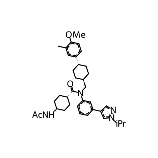 COc1ccc([C@H]2CC[C@H](CN(c3cccc(-c4cnn(C(C)C)c4)c3)C(=O)[C@H]3CC[C@H](NC(C)=O)CC3)CC2)cc1C